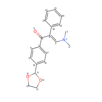 CN(C)C=C(C(=O)c1ccc(C2OCCO2)cc1)c1ccccc1